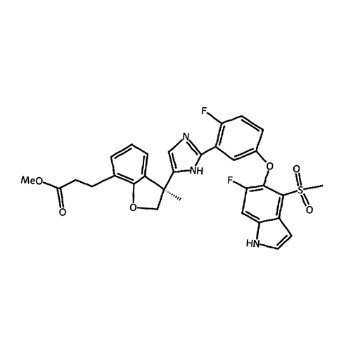 COC(=O)CCc1cccc2c1OC[C@]2(C)c1cnc(-c2cc(Oc3c(F)cc4[nH]ccc4c3S(C)(=O)=O)ccc2F)[nH]1